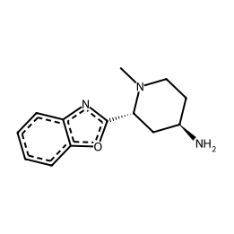 CN1CC[C@@H](N)C[C@@H]1c1nc2ccccc2o1